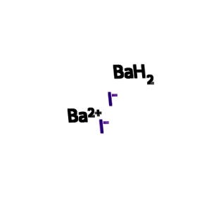 [Ba+2].[BaH2].[I-].[I-]